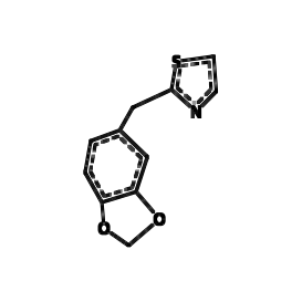 c1csc(Cc2ccc3c(c2)OCO3)n1